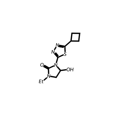 CCN1CC(O)N(c2nnc(C3CCC3)s2)C1=O